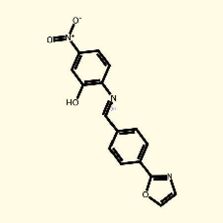 O=[N+]([O-])c1ccc(/N=C/c2ccc(-c3ncco3)cc2)c(O)c1